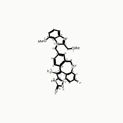 COCc1nc2cccc(OC)c2n1Cc1ccc2c(c1)COc1cc(F)ccc1/C2=C(/C)c1noc(=O)[nH]1